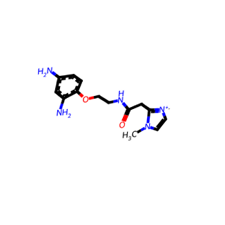 CN1C=C[N+]=C1CC(=O)NCCOc1ccc(N)cc1N